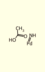 CC(=O)O.[NH]=[Pd]